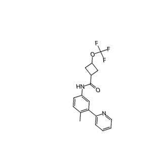 Cc1ccc(NC(=O)C2CC(OC(F)(F)F)C2)cc1-c1ccccn1